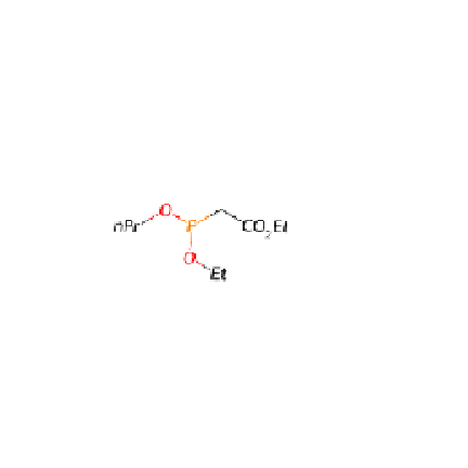 CCCOP(CC(=O)OCC)OCC